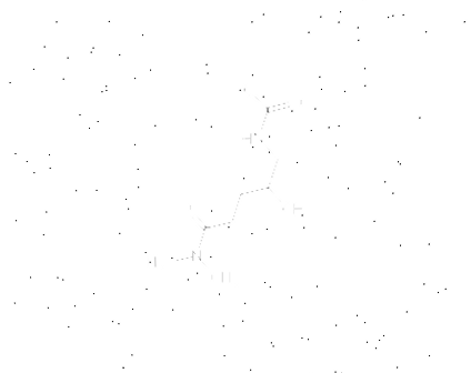 CC(=O)NCC(C)CCC(=O)N(C)C